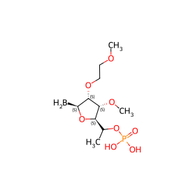 B[C@@H]1O[C@H](C(C)OP(=O)(O)O)[C@@H](OC)[C@H]1OCCOC